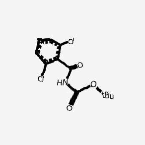 CC(C)(C)OC(=O)NC(=O)c1c(Cl)cccc1Cl